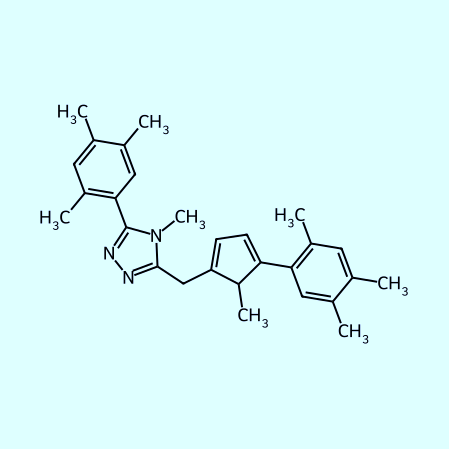 Cc1cc(C)c(C2=CC=C(Cc3nnc(-c4cc(C)c(C)cc4C)n3C)C2C)cc1C